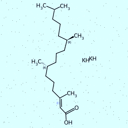 C/C(=C\C(=O)O)CCC[C@H](C)CCC[C@H](C)CCCC(C)C.[KH].[KH]